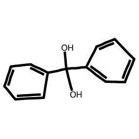 OC(O)(c1ccccc1)c1ccccc1